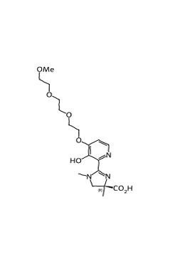 COCCOCCOCCOc1ccnc(C2=N[C@@](C)(C(=O)O)CN2C)c1O